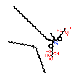 CCCCCCCCCCCCCCCCCCCCCCCCCCC#CC1=C(c2cccc(CC(O)C(O)C(O)CO)c2)[N+](=[N-])C(c2cccc(CC(O)C(O)C(O)CO)c2)=C1CCCC.CCCCCCCCCCCCCC[CH2][Pd][CH2]CCCCCCCCCCCCCC